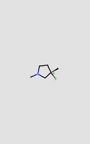 [CH2][C@]1(F)CCN(C)C1